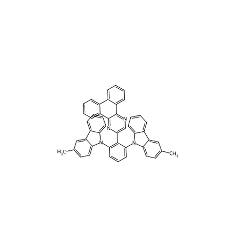 Cc1ccc2c(c1)c1ccccc1n2-c1cccc(-n2c3ccccc3c3cc(C)ccc32)c1-c1cnc2c3ccccc3c3ccccc3c2n1